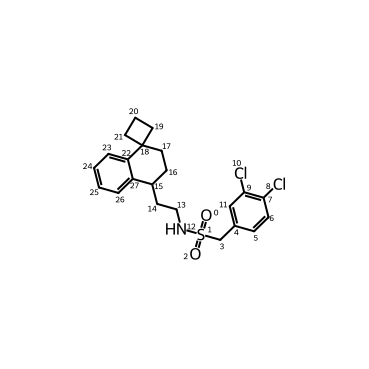 O=S(=O)(Cc1ccc(Cl)c(Cl)c1)NCCC1CCC2(CCC2)c2ccccc21